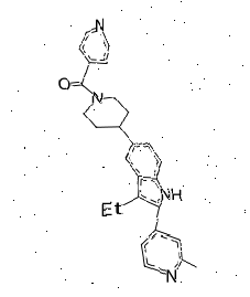 CCc1c(-c2ccnc(C)c2)[nH]c2ccc(C3CCN(C(=O)c4ccncc4)CC3)cc12